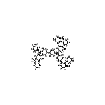 CC1(C)c2ccccc2-c2cc3c4cc(-c5ccc(N(c6ccc(-c7cccc8sc9ccccc9c78)cc6)c6ccc(-c7cccc8sc9ccccc9c78)cc6)cc5)ccc4n(-c4ccccc4)c3cc21